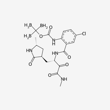 BC(B)(B)OC(=O)Nc1ccc(Cl)cc1C(=O)N[C@@H](C[C@@H]1C[C@@H](C)NC1=O)C(=O)C(=O)NC